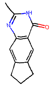 Cc1nc2cc3c(cc2c(=O)[nH]1)CCC3